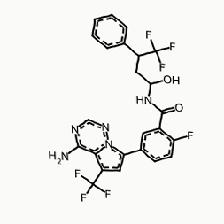 Nc1ncnn2c(-c3ccc(F)c(C(=O)NC(O)CC(c4ccccc4)C(F)(F)F)c3)cc(C(F)(F)F)c12